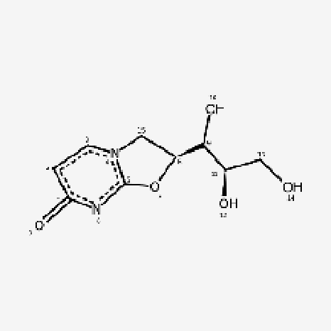 O=c1ccn2c(n1)O[C@H](C(O)[C@H](O)CO)C2